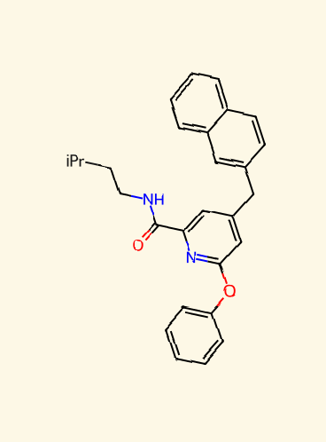 CC(C)CCNC(=O)c1cc(Cc2ccc3ccccc3c2)cc(Oc2ccccc2)n1